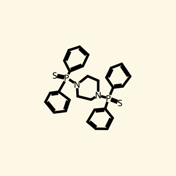 S=P(c1ccccc1)(c1ccccc1)N1CCN(P(=S)(c2ccccc2)c2ccccc2)CC1